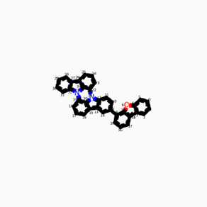 c1ccc2c(c1)oc1c(-c3ccc4c(c3)c3cccc5c3n4c3cccc4c6ccccc6n5c43)cccc12